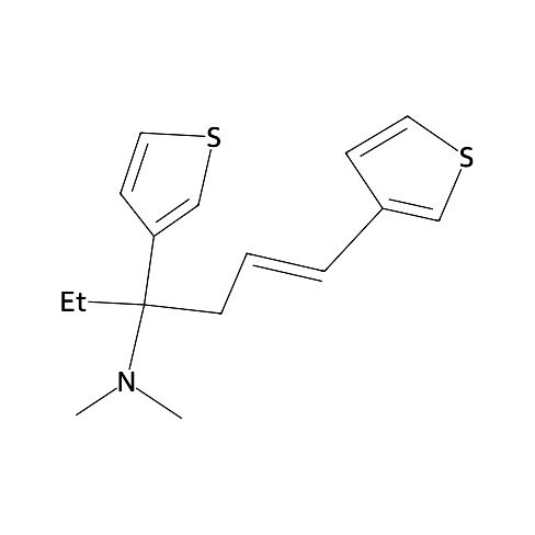 CCC(CC=Cc1ccsc1)(c1ccsc1)N(C)C